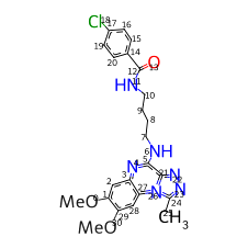 COc1cc2nc(NCCCCNC(=O)c3ccc(Cl)cc3)c3nnc(C)n3c2cc1OC